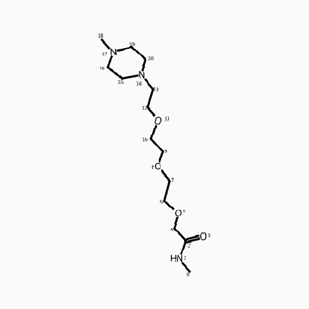 CNC(=O)COCCOCCOCCN1CCN(C)CC1